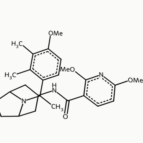 COc1ccc(C(=O)NC2CC3CCC(C2)N3C(C)c2ccc(OC)c(C)c2C)c(OC)n1